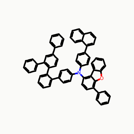 c1ccc(-c2ccc(-c3ccccc3-c3ccc(N(c4ccc(-c5cccc6ccccc56)cc4)c4ccc(-c5ccccc5)c5oc6ccccc6c45)cc3)c(-c3ccccc3)c2)cc1